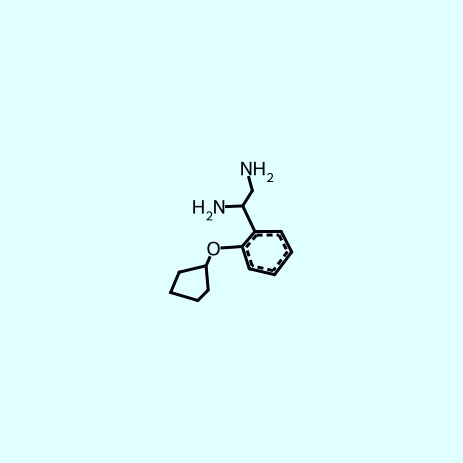 NCC(N)c1ccccc1OC1CCCC1